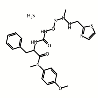 COc1ccc(N(C)C(=O)C(Cc2ccccc2)NC(=O)NOSN(C)NCc2nccs2)cc1.S